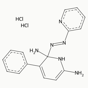 Cl.Cl.NC1=CC=C(c2ccccc2)C(N)(N=Nc2ccccn2)N1